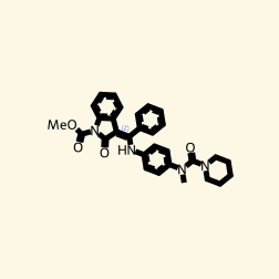 COC(=O)N1C(=O)/C(=C(\Nc2ccc(N(C)C(=O)N3CCCCC3)cc2)c2ccccc2)c2ccccc21